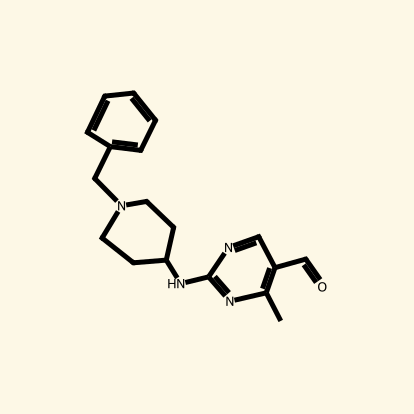 Cc1nc(NC2CCN(Cc3ccccc3)CC2)ncc1C=O